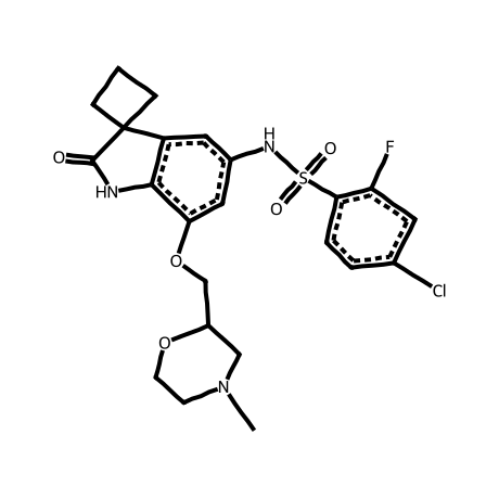 CN1CCOC(COc2cc(NS(=O)(=O)c3ccc(Cl)cc3F)cc3c2NC(=O)C32CCC2)C1